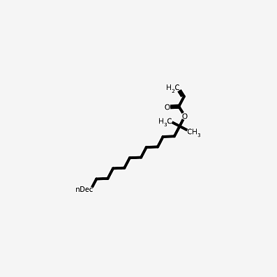 C=CC(=O)OC(C)(C)CCCCCCCCCCCCCCCCCCCC